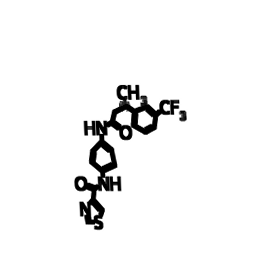 C[C@@H](CC(=O)Nc1ccc(NC(=O)c2cscn2)cc1)c1cccc(C(F)(F)F)c1